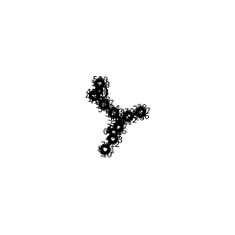 CC1(C)c2cc(-c3ccccc3)ccc2-c2ccc(N(c3ccc(-c4ccccc4)cc3)c3ccc(-c4ccc(-c5cccc6c5oc5ccccc56)cc4)cc3)cc21